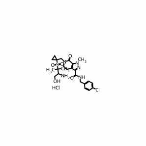 Cl.Cn1nc(C(=O)NCc2ccc(Cl)cc2)c2c1C(=O)N(CC1(S(=O)(=O)C(C)(C)C(N)CO)CC1)CC2